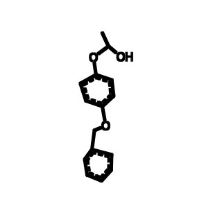 CC(O)Oc1ccc(OCc2ccccc2)cc1